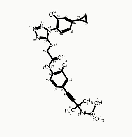 CB(O)NC(C)(C)C#Cc1ccc(NC(=O)CSc2nnnn2-c2ccc(C3CC3)cc2Cl)c(Cl)c1